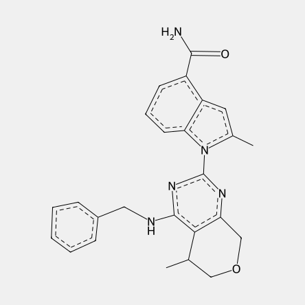 Cc1cc2c(C(N)=O)cccc2n1-c1nc2c(c(NCc3ccccc3)n1)C(C)COC2